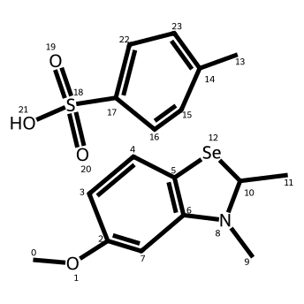 COc1ccc2c(c1)N(C)C(C)[Se]2.Cc1ccc(S(=O)(=O)O)cc1